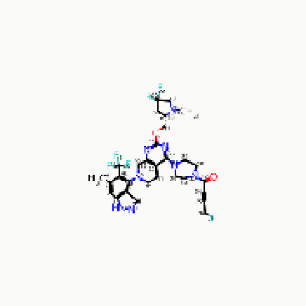 Cc1cc2[nH]ncc2c(N2CCc3c(nc(OC[C@@H]4CC(F)(F)CN4C)nc3N3CCN(C(=O)C#CCF)CC3)C2)c1C(F)(F)F